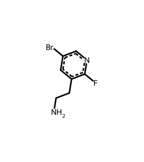 NCCc1cc(Br)cnc1F